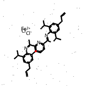 C=CCc1cc(C(C)C)c(N=C(C)c2cccc(C(C)=Nc3c(C(C)C)cc(CC=C)cc3C(C)C)n2)c(C(C)C)c1.[Cl-].[Cl-].[Fe+2]